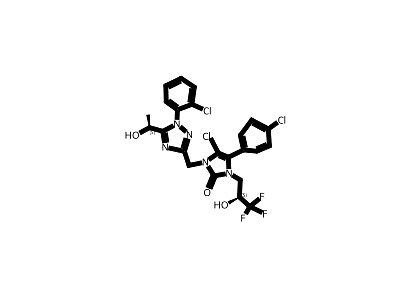 C[C@H](O)c1nc(Cn2c(Cl)c(-c3ccc(Cl)cc3)n(C[C@H](O)C(F)(F)F)c2=O)nn1-c1ccccc1Cl